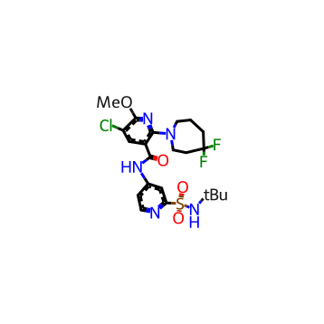 COc1nc(N2CCCC(F)(F)CC2)c(C(=O)Nc2ccnc(S(=O)(=O)NC(C)(C)C)c2)cc1Cl